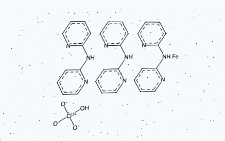 [Fe].[O-][Cl+3]([O-])([O-])O.c1ccc(Nc2ccccn2)nc1.c1ccc(Nc2ccccn2)nc1.c1ccc(Nc2ccccn2)nc1